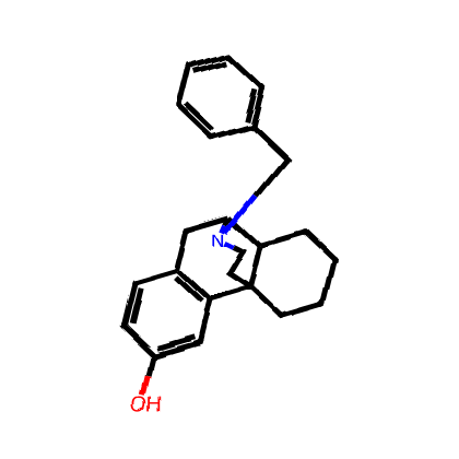 Oc1ccc2c(c1)C13CCCCC1C(C2)N(Cc1ccccc1)CC3